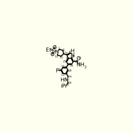 CCS(=O)(=O)N1CCC(c2c[nH]c3c(C(N)=O)cc(-c4cc(F)cc(CNCC(C)C)c4)cc23)CC1